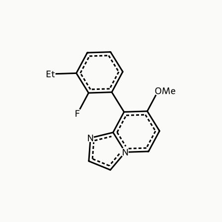 CCc1cccc(-c2c(OC)ccn3ccnc23)c1F